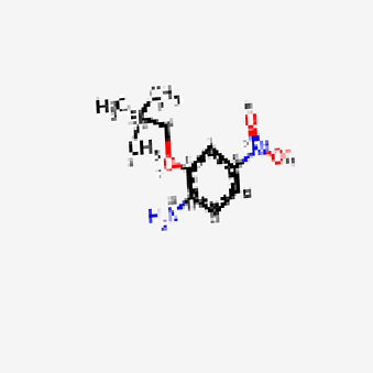 C[Si](C)(C)COc1cc([N+](=O)[O-])ccc1N